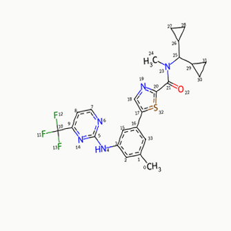 Cc1cc(Nc2nccc(C(F)(F)F)n2)cc(-c2cnc(C(=O)N(C)C(C3CC3)C3CC3)s2)c1